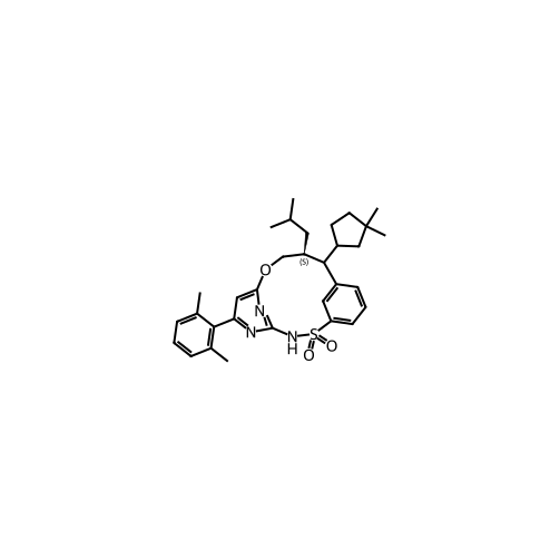 Cc1cccc(C)c1-c1cc2nc(n1)NS(=O)(=O)c1cccc(c1)C(C1CCC(C)(C)C1)[C@H](CC(C)C)CO2